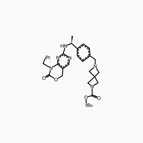 CC(C)CN1C(=O)OCc2cnc(N[C@@H](C)c3ccc(CN4CC5(C4)CN(C(=O)OC(C)(C)C)C5)cc3)nc21